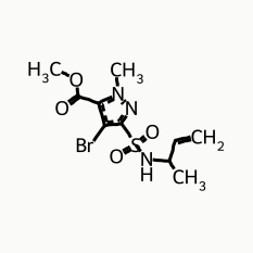 C=CC(C)NS(=O)(=O)c1nn(C)c(C(=O)OC)c1Br